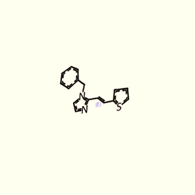 C(=C\c1nccn1Cc1ccccc1)/c1cccs1